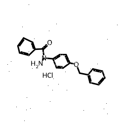 Cl.NN(C(=O)c1ccccc1)c1ccc(OCc2ccccc2)cc1